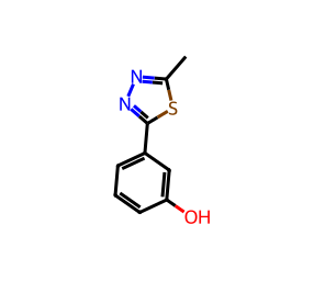 Cc1nnc(-c2cccc(O)c2)s1